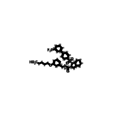 O=C(O)CCCCOc1cccc(CNC(=O)[C@@H]2Cc3ccccc3N2S(=O)(=O)c2ccc(-c3cccc(C(F)(F)F)c3)cc2)c1